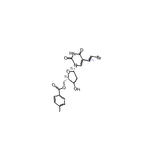 Cc1ccc(C(=O)OC[C@@H]2O[C@H](n3cc(/C=C/Br)c(=O)[nH]c3=O)CC2O)cc1